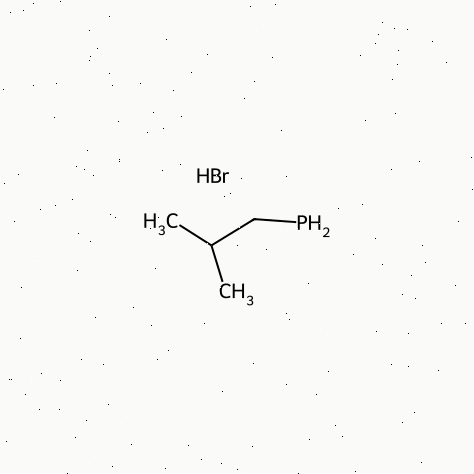 Br.CC(C)CP